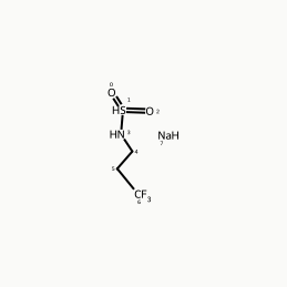 O=[SH](=O)NCCC(F)(F)F.[NaH]